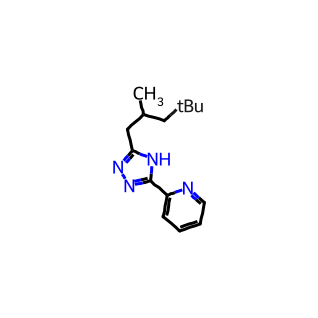 CC(Cc1nnc(-c2ccccn2)[nH]1)CC(C)(C)C